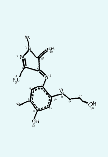 CCN1N=C(C(F)(F)F)C(=Nc2cc(C)c(O)cc2NCCO)C1=N